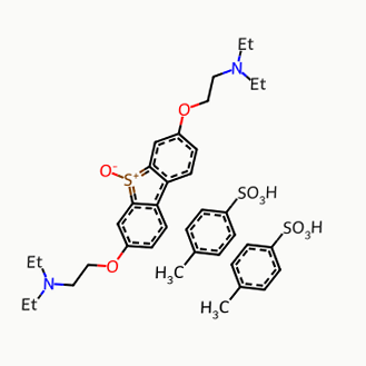 CCN(CC)CCOc1ccc2c3ccc(OCCN(CC)CC)cc3[s+]([O-])c2c1.Cc1ccc(S(=O)(=O)O)cc1.Cc1ccc(S(=O)(=O)O)cc1